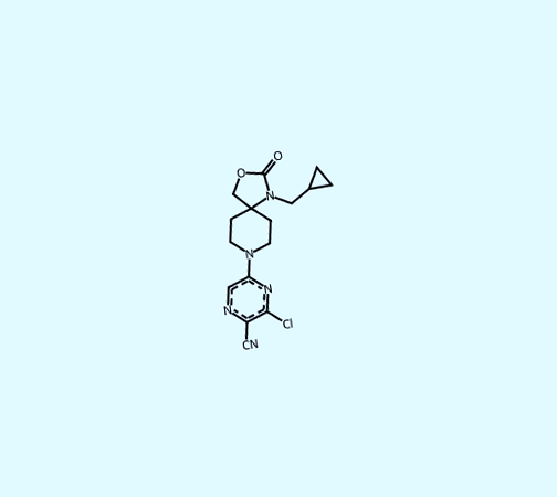 N#Cc1ncc(N2CCC3(CC2)COC(=O)N3CC2CC2)nc1Cl